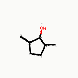 CC1CCC(C)C1O